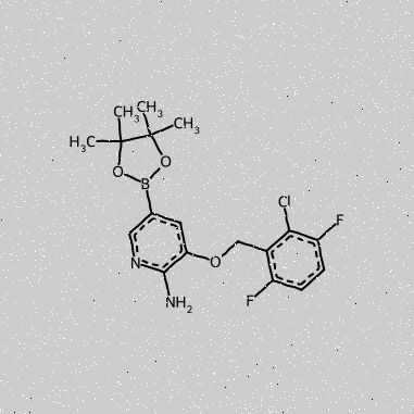 CC1(C)OB(c2cnc(N)c(OCc3c(F)ccc(F)c3Cl)c2)OC1(C)C